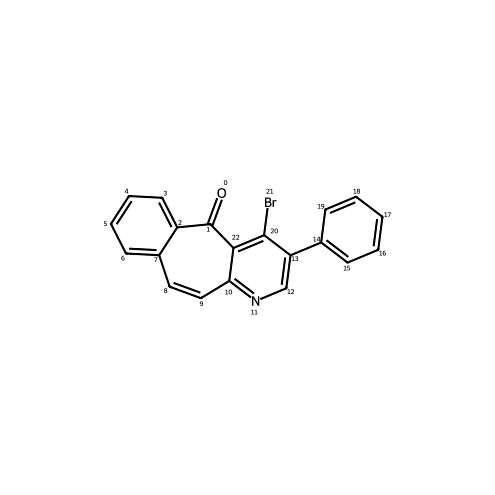 O=c1c2ccccc2ccc2ncc(-c3ccccc3)c(Br)c12